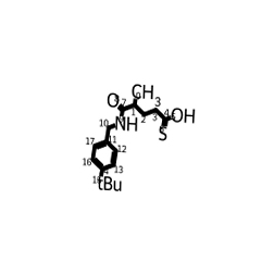 CC(CCC(O)=S)C(=O)NCc1ccc(C(C)(C)C)cc1